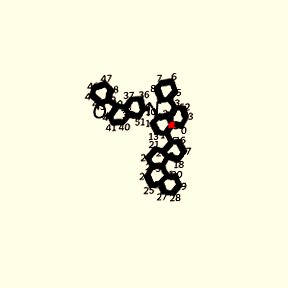 c1ccc(-c2ccccc2N(c2ccc(-c3cccc4c3ccc3ccc5ccccc5c34)cc2)c2ccc3c(ccc4oc5ccccc5c43)c2)cc1